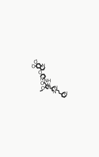 CCOc1cn(-c2cnc(CCc3cccnc3)nc2)nc1C(=O)Nc1ccc(Oc2ccnc3cc(OC)c(OC)cc23)cn1